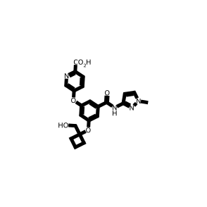 Cn1ccc(NC(=O)c2cc(Oc3ccc(C(=O)O)nc3)cc(OC3(CO)CCC3)c2)n1